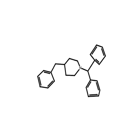 [c]1ccc(CC2CCN(C(c3ccccc3)c3ccccc3)CC2)cc1